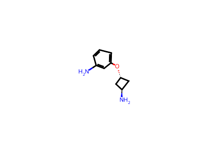 Nc1cccc(O[C@H]2C[C@H](N)C2)c1